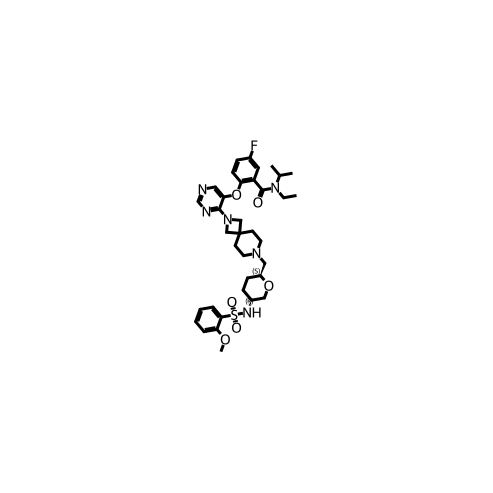 CCN(C(=O)c1cc(F)ccc1Oc1cncnc1N1CC2(CCN(C[C@@H]3CC[C@@H](NS(=O)(=O)c4ccccc4OC)CO3)CC2)C1)C(C)C